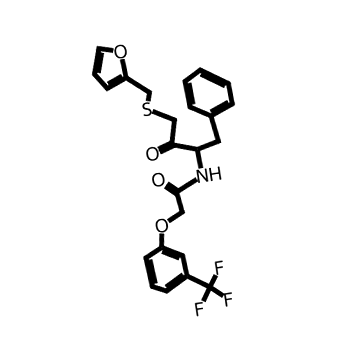 O=C(COc1cccc(C(F)(F)F)c1)NC(Cc1ccccc1)C(=O)CSCc1ccco1